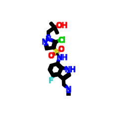 C=NCc1c[nH]c2c(NS(=O)(=O)c3cnn(CC(C)(C)O)c3Cl)ccc(F)c12